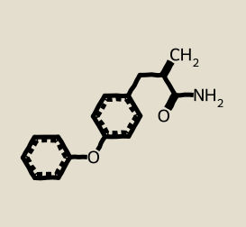 C=C(Cc1ccc(Oc2ccccc2)cc1)C(N)=O